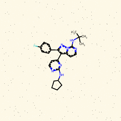 CC(C)(C)Nc1nccc2c(-c3ccnc(NC4CCCC4)n3)c(-c3ccc(F)cc3)nn12